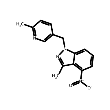 Cc1ccc(Cn2nc(C)c3c([N+](=O)[O-])cccc32)cn1